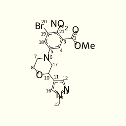 COC(=O)c1cc(N2CCOC(c3cnn(C)c3)C2)cc(Br)c1[N+](=O)[O-]